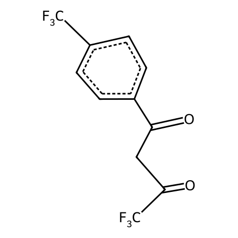 O=C(CC(=O)C(F)(F)F)c1ccc(C(F)(F)F)cc1